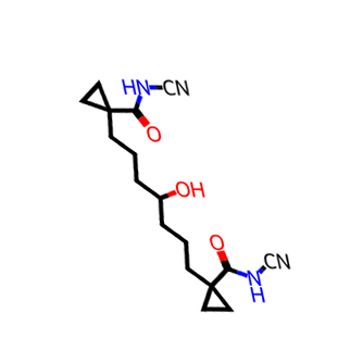 N#CNC(=O)C1(CCCC(O)CCCC2(C(=O)NC#N)CC2)CC1